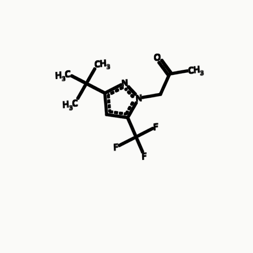 CC(=O)Cn1nc(C(C)(C)C)cc1C(F)(F)F